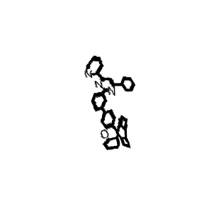 c1ccc(-c2cc(-c3ccccn3)nc(-c3cccc(-c4ccc5c(c4)Oc4ccccc4C54c5ccccc5-c5ccccc54)c3)n2)cc1